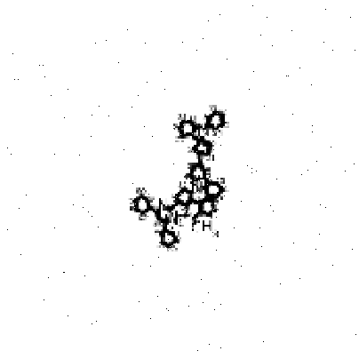 CCc1ccccc1-c1c(-n2c3ccccc3c3cc(-c4ccc5c(c4)c4ccccc4n5-c4ccccc4)ccc32)ccc(-c2nc(-c3ccccc3)cc(-c3ccccc3)n2)c1CC